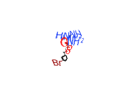 N=C(N)NC(=O)C(=O)CC(=O)Cc1cccc(Br)c1